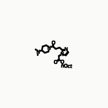 CCCCCCCCOC(=O)Cn1ccnc1CCC(=O)N1CCC(N(C)C)CC1